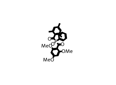 COc1cc(OC)c(C(=O)P(=O)(C(=O)c2c(C)cc(C)cc2C)c2ccccc2)c(OC)c1